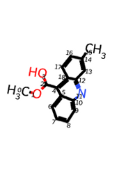 COC(O)c1c2ccccc2nc2cc(C)ccc12